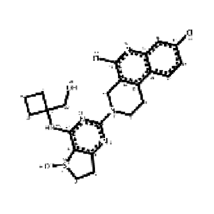 [O-][S@+]1CCc2nc(N3CCc4c(c(Cl)nc5cc(Cl)ccc45)C3)nc(NC3(CO)CCC3)c21